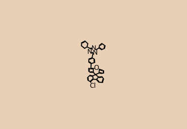 Clc1cccc2c1-c1ccccc1C21c2ccccc2Oc2c(-c3ccc(-c4nc(-c5ccccc5)nc(C5CC=CCC5)n4)cc3)cccc21